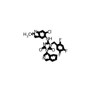 Cn1cc2cc(Nc3nc(=O)n(-c4cncc5ccccc45)c(=O)n3Cc3cc(F)c(F)cc3F)c(Cl)cc2n1